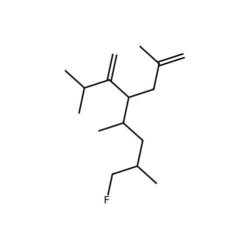 C=C(C)CC(C(=C)C(C)C)C(C)CC(C)CF